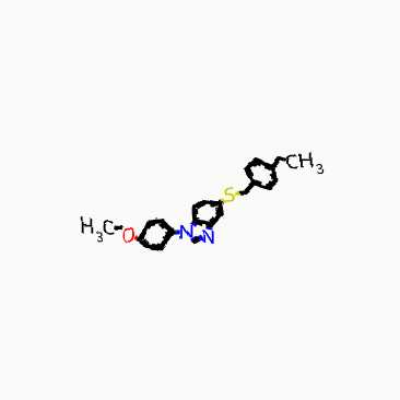 CCOc1ccc(-n2cnc3cc(SCc4ccc(CC)cc4)ccc32)cc1